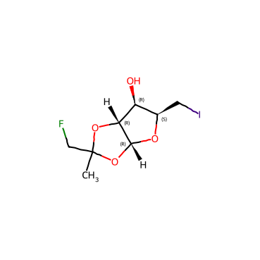 CC1(CF)O[C@H]2O[C@H](CI)[C@H](O)[C@H]2O1